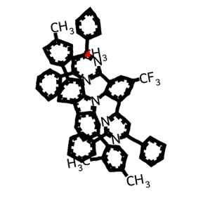 Cc1ccc(-c2ccc3c4ccc(-c5ccc(C)cc5C)cc4n(-c4c(-c5cc(-c6ccccc6)nc(-c6ccccc6)n5)cc(C(F)(F)F)cc4-c4nc(-c5ccccc5)cc(-c5ccccc5)n4)c3c2)c(C)c1